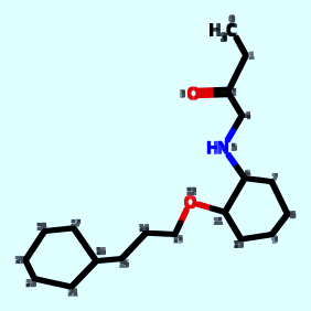 CCC(=O)CNC1CCCCC1OCCCC1CCCCC1